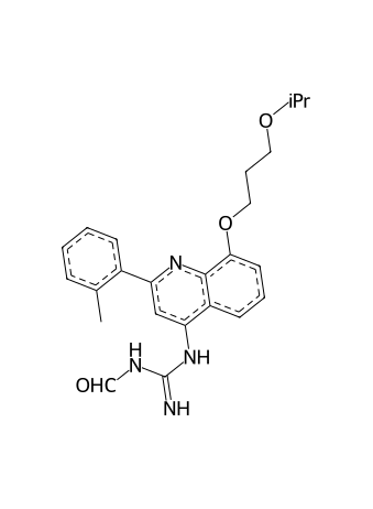 Cc1ccccc1-c1cc(NC(=N)NC=O)c2cccc(OCCCOC(C)C)c2n1